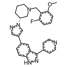 COc1cccc(F)c1CN1CCC[C@@H](n2cc(-c3ccc4[nH]nc(-c5ccncc5)c4c3)cn2)C1